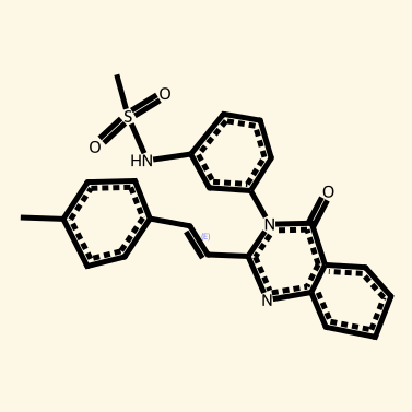 Cc1ccc(/C=C/c2nc3ccccc3c(=O)n2-c2cccc(NS(C)(=O)=O)c2)cc1